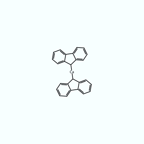 c1ccc2c(c1)-c1ccccc1[CH]2[Ca][CH]1c2ccccc2-c2ccccc21